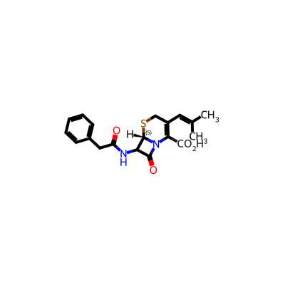 CC(C)=CC1=C(C(=O)O)N2C(=O)C(NC(=O)Cc3ccccc3)[C@@H]2SC1